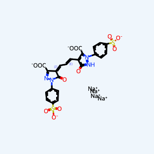 O=C([O-])C1=NN(c2ccc(S(=O)(=O)[O-])cc2)C(=O)/C1=C\C=C\c1c(C(=O)[O-])n(-c2ccc(S(=O)(=O)[O-])cc2)[nH]c1=O.[Na+].[Na+].[Na+].[Na+]